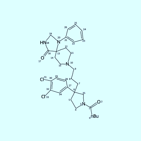 CCCCC(=O)N1CCC(CCCN2CCC3(CC2)C(=O)NCN3c2ccccc2)(c2ccc(Cl)c(Cl)c2)C1